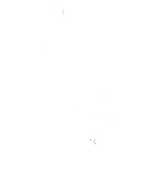 OCc1ccc(CCC(O)(c2ccccc2)C2CN3CCC2CC3)cc1